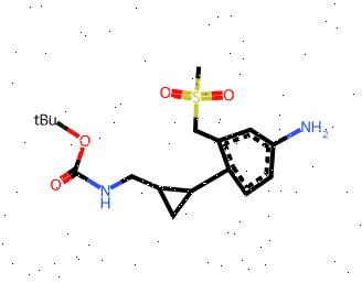 CC(C)(C)OC(=O)NCC1CC1c1ccc(N)cc1CS(C)(=O)=O